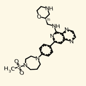 CS(=O)(=O)N1CCCN(c2ccc(-c3cc4nccnc4c(NC[C@@H]4CNCCO4)n3)cc2)CC1